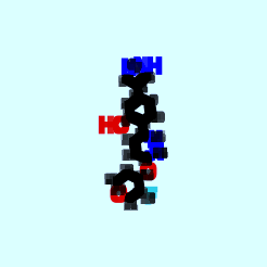 Oc1cc(-c2cn[nH]c2)ccc1-c1ccc(O[C@H]2CCOC[C@H]2F)nn1